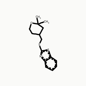 CC1(C)CC(CSc2nc3ccccc3s2)CCO1